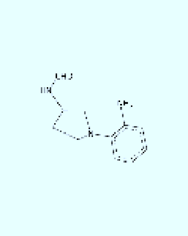 Nc1ccccc1N1CCC(NC=O)C1